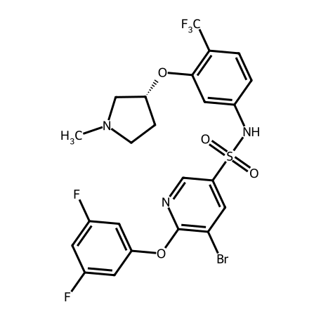 CN1CC[C@@H](Oc2cc(NS(=O)(=O)c3cnc(Oc4cc(F)cc(F)c4)c(Br)c3)ccc2C(F)(F)F)C1